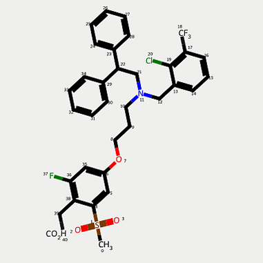 CS(=O)(=O)c1cc(OCCCN(Cc2cccc(C(F)(F)F)c2Cl)CC(c2ccccc2)c2ccccc2)cc(F)c1CC(=O)O